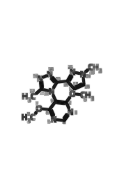 COc1ncnc(OC)c1-n1c(C)nnc1-c1ccn(C)n1